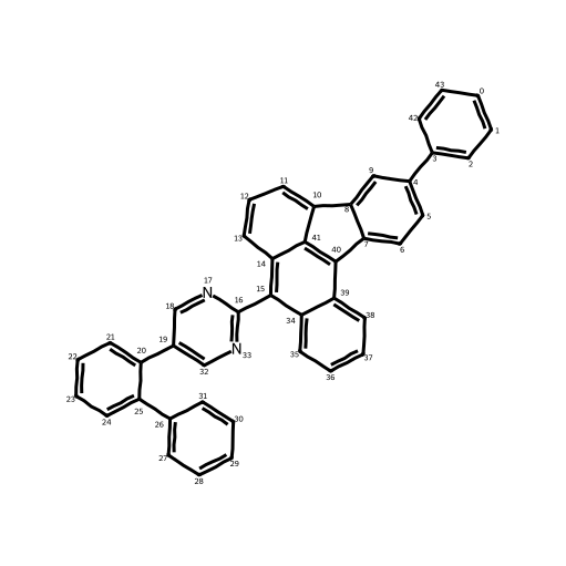 c1ccc(-c2ccc3c(c2)-c2cccc4c(-c5ncc(-c6ccccc6-c6ccccc6)cn5)c5ccccc5c-3c24)cc1